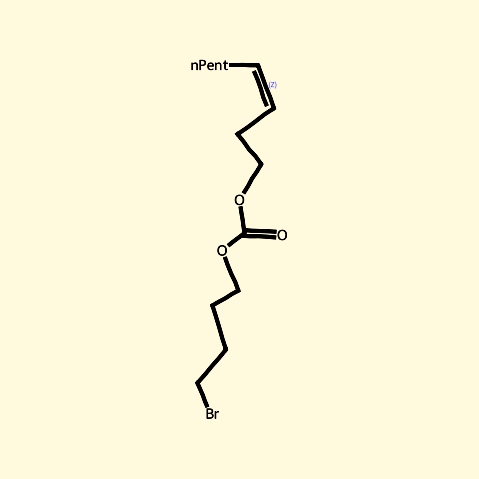 CCCCC/C=C\CCOC(=O)OCCCCBr